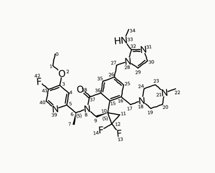 CCOc1cc([C@H](C)N2C[C@]3(CC3(F)F)c3c(CN4CCN(C)CC4)cc(Cn4ccnc4NC)cc3C2=O)ncc1F